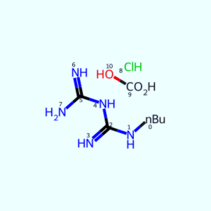 CCCCNC(=N)NC(=N)N.Cl.O=C(O)O